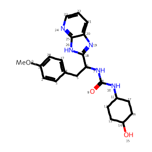 COc1ccc(CC(NC(=O)NC2CCC(O)CC2)c2nc3cccnc3[nH]2)cc1